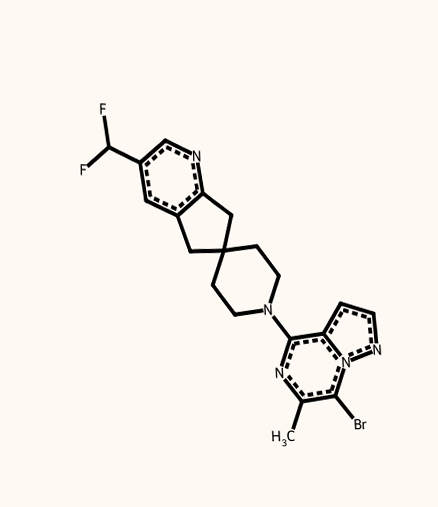 Cc1nc(N2CCC3(CC2)Cc2cc(C(F)F)cnc2C3)c2ccnn2c1Br